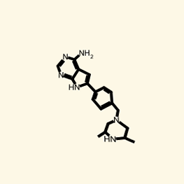 CC1CN(Cc2ccc(-c3cc4c(N)ncnc4[nH]3)cc2)CC(C)N1